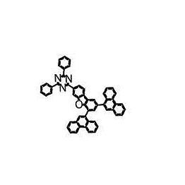 c1ccc(-c2nc(-c3ccccc3)nc(-c3ccc4c(c3)oc3c(-c5cc6ccccc6c6ccccc56)cc(-c5cc6ccccc6c6ccccc56)cc34)n2)cc1